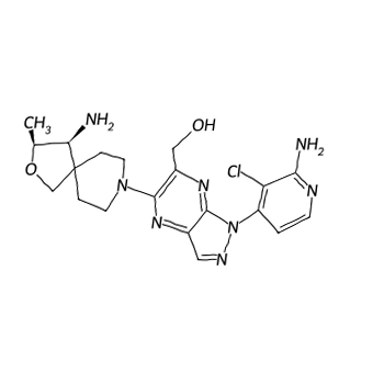 C[C@@H]1OCC2(CCN(c3nc4cnn(-c5ccnc(N)c5Cl)c4nc3CO)CC2)[C@@H]1N